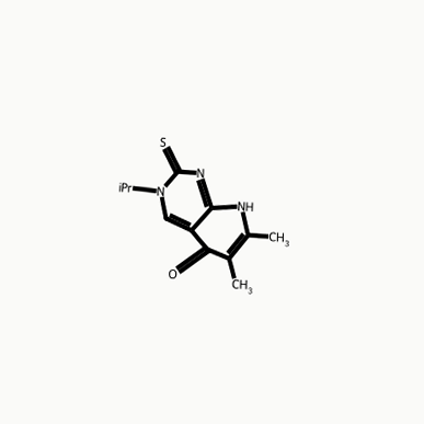 Cc1[nH]c2nc(=S)n(C(C)C)cc2c(=O)c1C